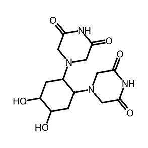 O=C1CN(C2CC(O)C(O)CC2N2CC(=O)NC(=O)C2)CC(=O)N1